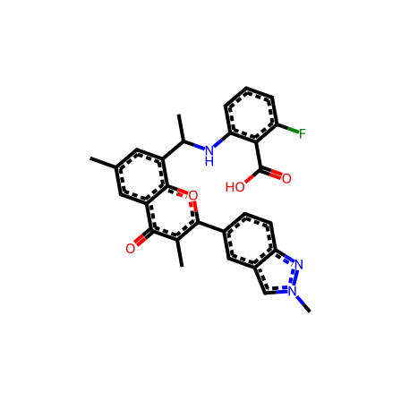 Cc1cc(C(C)Nc2cccc(F)c2C(=O)O)c2oc(-c3ccc4nn(C)cc4c3)c(C)c(=O)c2c1